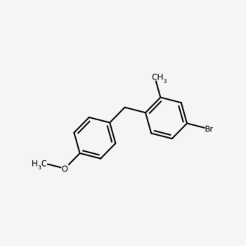 COc1ccc(Cc2ccc(Br)cc2C)cc1